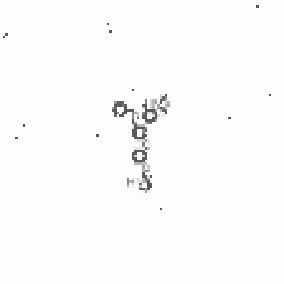 Cc1c(NS(C)(=O)=O)cccc1N(Cc1ccccc1)Cc1ccc(Oc2cccc(OC[C@]3(C)CCCN3)c2)cc1